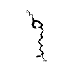 CCN(C)CCCCCCOc1cc[c]([Mg][Br])cc1